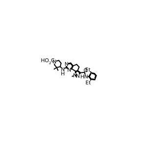 CCc1cccc(CC)c1NC(=O)c1nn(C)c2c1CCc1cnc(NC3CCN(C(=O)O)CC3(C)C)nc1-2